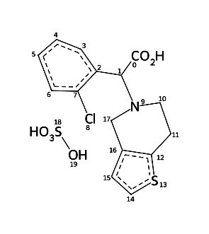 O=C(O)C(c1ccccc1Cl)N1CCc2sccc2C1.O=S(=O)(O)O